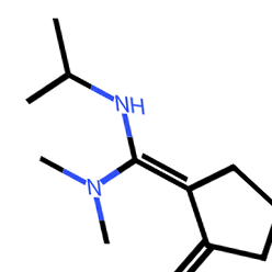 C=C1CCC/C1=C(\NC(C)C)N(C)C